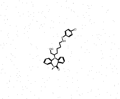 CN1C(=O)c2ccccc2N(C(CO)CCCCNSc2ccc(Cl)cc2)c2ccccc21